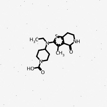 CCN(c1sc2c(c1C)C(=O)NCC2)C1CCN(C(=O)O)CC1